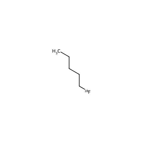 CCCCC[18F]